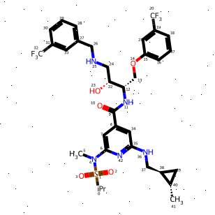 CC(C)S(=O)(=O)N(C)c1cc(C(=O)N[C@@H](COc2cccc(C(F)(F)F)c2)[C@H](O)CNCc2cccc(C(F)(F)F)c2)cc(NC[C@H]2C[C@@H]2C)n1